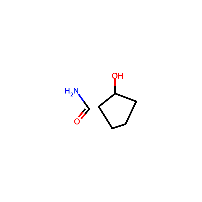 NC=O.OC1CCCC1